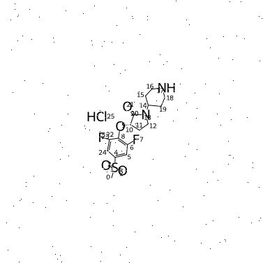 CS(=O)(=O)c1cc(F)c(O[C@H]2CCN(C3CCNCC3)C2=O)c(F)c1.Cl